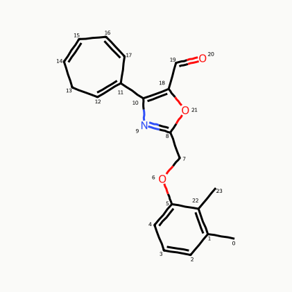 Cc1cccc(OCc2nc(C3=CCC=CC=C3)c(C=O)o2)c1C